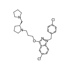 Clc1ccc(Cn2nc(OCCCN3CCC[C@H]3CN3CCCC3)c3cc(Cl)ccc32)cc1